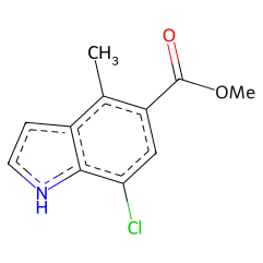 COC(=O)c1cc(Cl)c2[nH]ccc2c1C